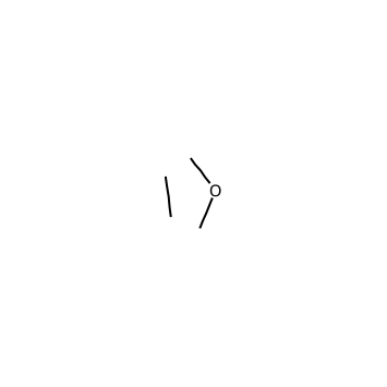 CC.COC